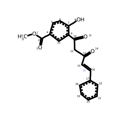 COC(=O)c1ccc(O)c(C(=O)CC(=O)/C=C/c2ccccc2)c1